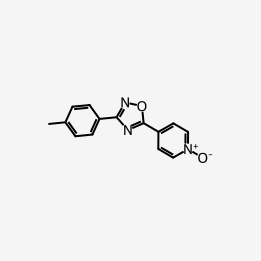 Cc1ccc(-c2noc(-c3cc[n+]([O-])cc3)n2)cc1